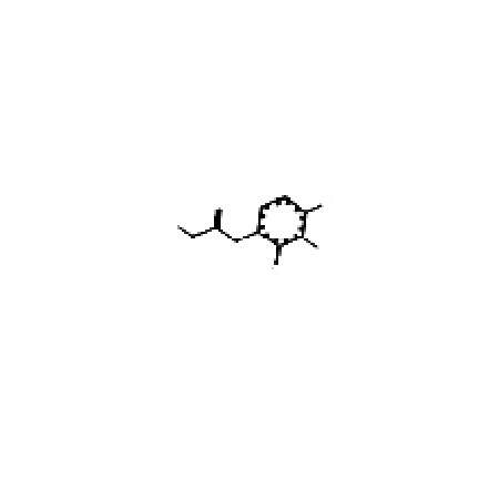 O=C(O)CC(=O)Cc1ccc(Cl)c(F)c1[N+](=O)[O-]